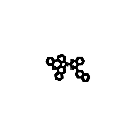 c1ccc2cc(-c3nc(-n4c5cccc6c7ccccc7oc7c8ccccc8cc4c7c65)nc4ccccc34)ccc2c1